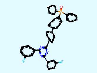 O=P(c1ccccc1)(c1ccccc1)c1ccc(-c2ccc(-c3nc(-c4cccc(F)c4)nc(-c4cccc(F)c4)n3)cc2)cc1